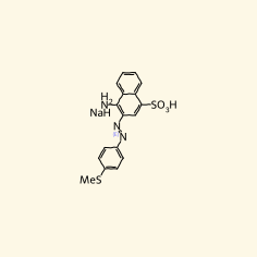 CSc1ccc(/N=N/c2cc(S(=O)(=O)O)c3ccccc3c2N)cc1.[NaH]